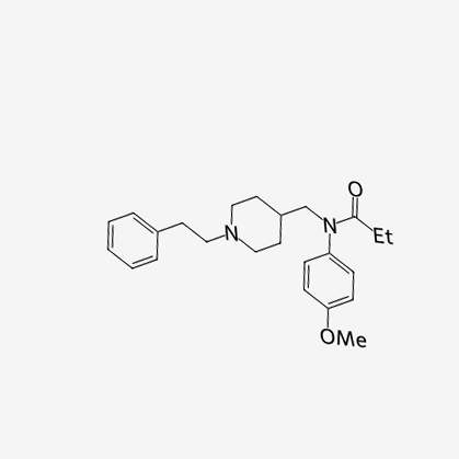 CCC(=O)N(CC1CCN(CCc2ccccc2)CC1)c1ccc(OC)cc1